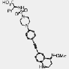 CON=C1CCNc2ccc(C#Cc3ccc(N4CCN(S(=O)(=O)NC(C(=O)O)C(C)C)CC4)cc3)cc21